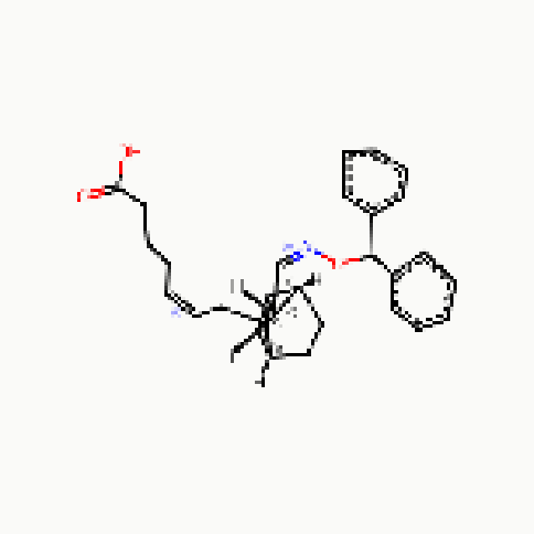 O=C(O)CCC/C=C\C[C@@H]1[C@H](/C=N\OC(c2ccccc2)c2ccccc2)[C@@H]2C=C[C@H]1CC2